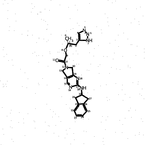 C[C@H](Cc1cnn[nH]1)OCC(=O)N1Cc2cnc(NC3Cc4ccccc4C3)nc2C1